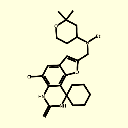 C=C1Nc2c(Cl)cc3cc(CN(CC)C4CCOC(C)(C)C4)oc3c2C2(CCCCC2)N1